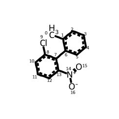 Cc1ccccc1-c1c(Cl)cccc1[N+](=O)[O-]